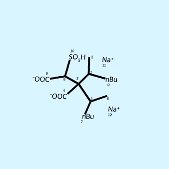 CCCCC(C)C(C(=O)[O-])(C(C)CCCC)C(C(=O)[O-])S(=O)(=O)O.[Na+].[Na+]